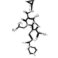 CC(C)Cn1c(=O)c(C(=O)NC2CC2)c(O)n2nc(C(N)=O)c(/C=C/C(=O)N3CCOCC3)c12